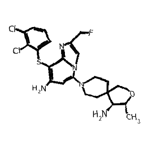 C[C@@H]1OCC2(CCN(c3cc(N)c(Sc4cccc(Cl)c4Cl)c4nc(CF)cn34)CC2)[C@@H]1N